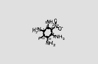 Nc1c(N)c([N+](=O)[O-])c(N)c(N)c1F